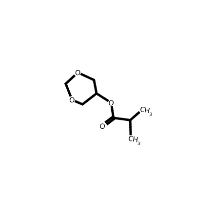 CC(C)C(=O)OC1COCOC1